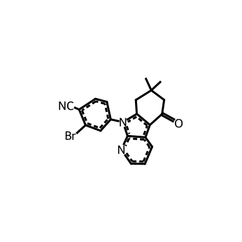 CC1(C)CC(=O)c2c(n(-c3ccc(C#N)c(Br)c3)c3ncccc23)C1